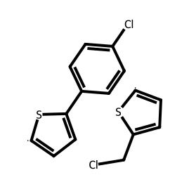 ClCc1cc[c]s1.Clc1ccc(-c2cc[c]s2)cc1